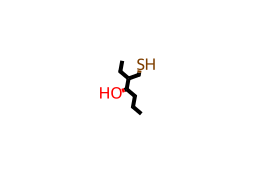 CCCC(O)C(CC)CS